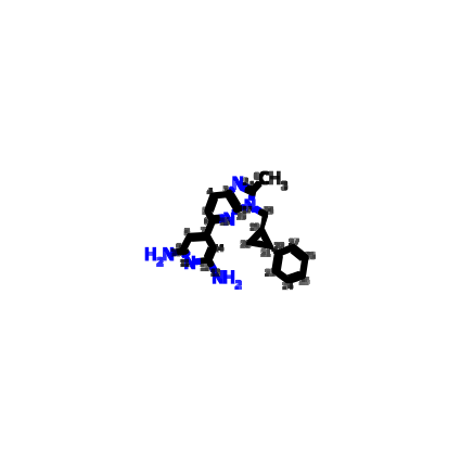 Cc1nc2ccc(-c3cc(N)nc(N)c3)nc2n1C[C@@H]1C[C@H]1c1ccccc1